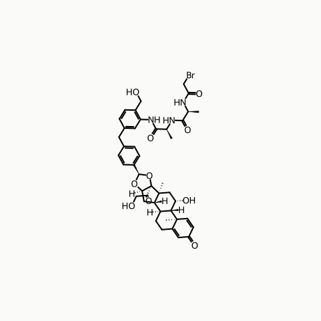 C[C@H](NC(=O)CBr)C(=O)N[C@@H](C)C(=O)Nc1cc(Cc2ccc([C@@H]3O[C@@H]4C[C@H]5[C@@H]6CCC7=CC(=O)C=C[C@]7(C)[C@H]6[C@@H](O)C[C@]5(C)[C@]4(C(=O)CO)O3)cc2)ccc1CO